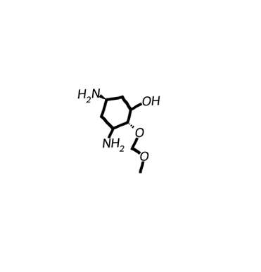 COCO[C@@H]1C(N)C[C@@H](N)CC1O